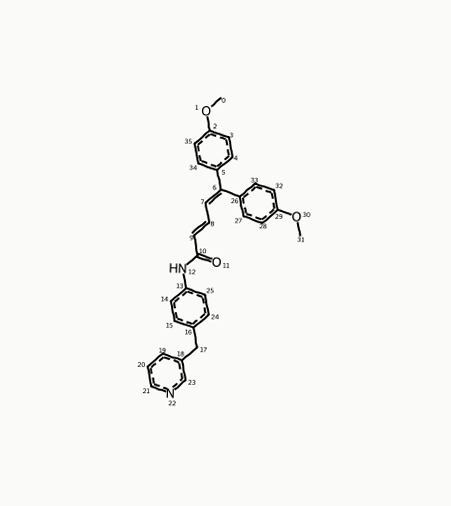 COc1ccc(C(=C/C=C/C(=O)Nc2ccc(Cc3cccnc3)cc2)c2ccc(OC)cc2)cc1